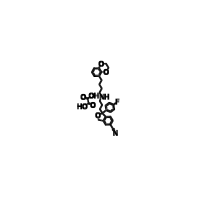 N#Cc1ccc2c(c1)COC2(CCCNCCCCc1cccc2c1OCCO2)c1ccc(F)cc1.O=C(O)C(=O)O